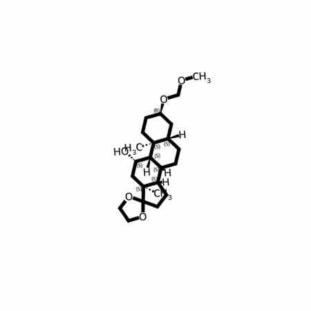 COCO[C@@H]1CC[C@@]2(C)[C@@H](CC[C@@H]3[C@@H]2[C@@H](O)C[C@@]2(C)[C@H]3CCC23OCCO3)C1